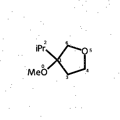 COC1(C(C)C)CCOC1